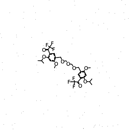 COc1cc(OC(C)C)c(C(=O)C(F)(F)F)cc1COCOCOCc1cc(C(=O)C(F)(F)F)c(OC(C)C)cc1OC